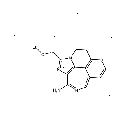 CCOCc1nc2c3n1CCC1=C3C(=CN=C2N)C=CO1